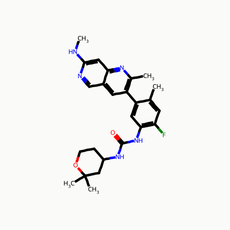 CNc1cc2nc(C)c(-c3cc(NC(=O)NC4CCOC(C)(C)C4)c(F)cc3C)cc2cn1